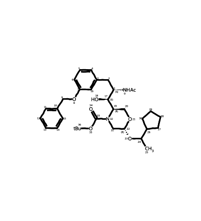 CC(=O)N[C@@H](Cc1cccc(OCc2ccccc2)c1)[C@H](O)[C@H]1CO[C@H](OC(C)C2CCCC2)CN1C(=O)OC(C)(C)C